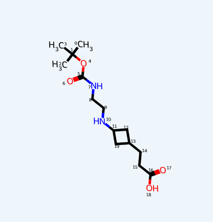 CC(C)(C)OC(=O)NCCNC1CC(CCC(=O)O)C1